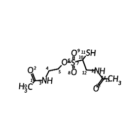 CC(=O)NCCOS(=O)(=O)C(S)CNC(C)=O